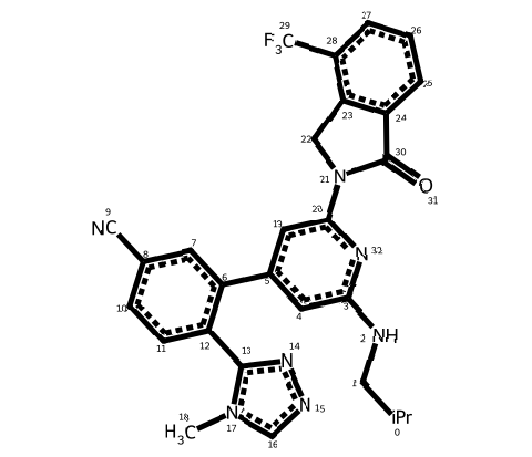 CC(C)CNc1cc(-c2cc(C#N)ccc2-c2nncn2C)cc(N2Cc3c(cccc3C(F)(F)F)C2=O)n1